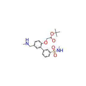 CNCc1ccc(OCC(=O)OC(C)(C)C)c(-c2cccc(S(=O)(=O)NC)c2)c1